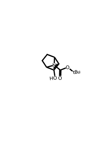 CC(C)(C)OC(=O)N1C2C=C(O)C1CC2